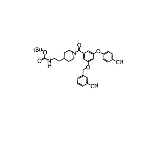 CC(C)(C)OC(=O)NCCC1CCN(C(=O)c2cc(OCc3cccc(C#N)c3)cc(Oc3ccc(C#N)cc3)c2)CC1